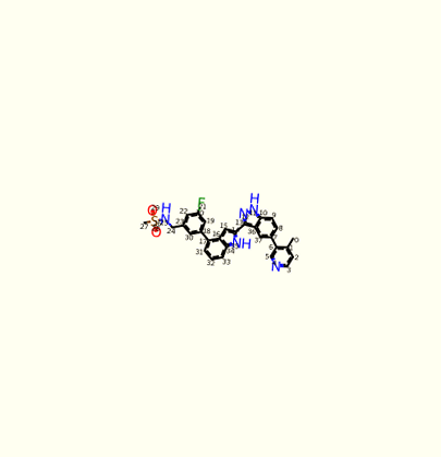 Cc1ccncc1-c1ccc2[nH]nc(-c3cc4c(-c5cc(F)cc(CNS(C)(=O)=O)c5)cccc4[nH]3)c2c1